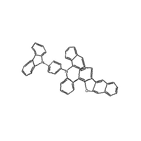 c1ccc(N(c2ccc(-n3c4ccccc4c4ccccc43)cc2)c2cccc3ccccc23)c(-c2cccc3c2oc2cc4ccccc4cc23)c1